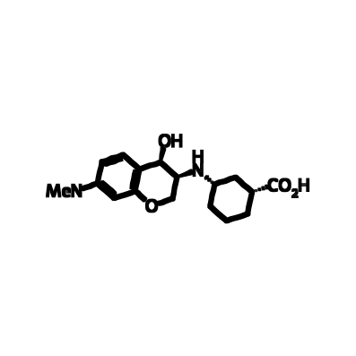 CNc1ccc2c(c1)OC[C@H](N[C@H]1CCC[C@@H](C(=O)O)C1)[C@@H]2O